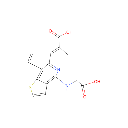 C=Cc1c(/C=C(\C)C(=O)O)nc(NCC(=O)O)c2ccsc12